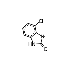 O=C1[N]c2c(Cl)cccc2N1